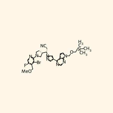 COCc1c(F)cnc(N2CC[C@H]([C@H](CC#N)n3cc(-c4ncnc5c4ccn5COCC[Si](C)(C)C)cn3)C2)c1Br